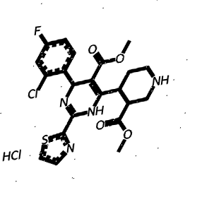 COC(=O)C1=C(C2CCNCC2C(=O)OC)NC(c2nccs2)=NC1c1ccc(F)cc1Cl.Cl